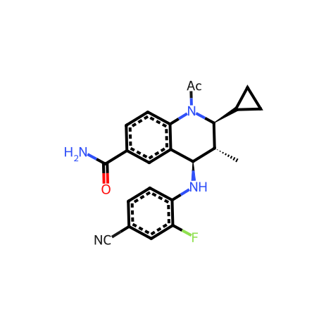 CC(=O)N1c2ccc(C(N)=O)cc2[C@H](Nc2ccc(C#N)cc2F)[C@@H](C)[C@@H]1C1CC1